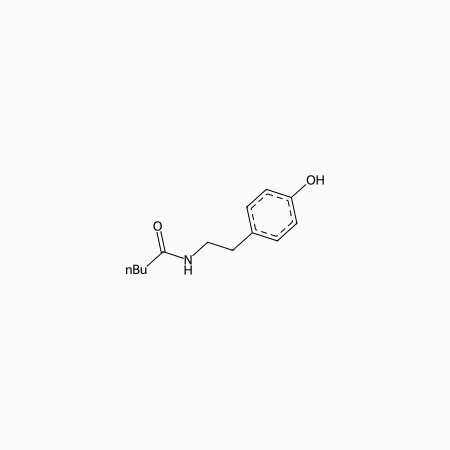 [CH2]CCCC(=O)NCCc1ccc(O)cc1